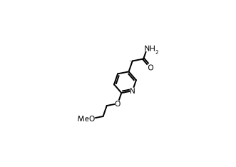 COCCOc1ccc([CH]C(N)=O)cn1